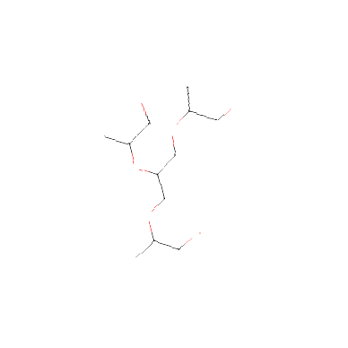 CC(CO)OCC(COC(C)CO)OC(C)CO